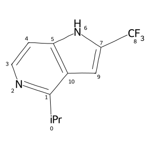 CC(C)c1nccc2[nH]c(C(F)(F)F)cc12